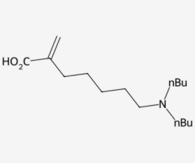 C=C(CCCCCN(CCCC)CCCC)C(=O)O